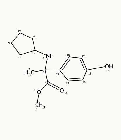 COC(=O)C(C)(NC1CCCC1)c1ccc(O)cc1